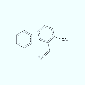 C=Cc1ccccc1OC(C)=O.c1ccccc1